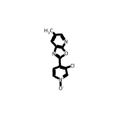 Cc1cnc2oc(-c3cc[n+]([O-])cc3Cl)nc2c1